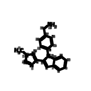 Cn1nnc(-c2cc3ccccc3n2-c2ccc(CN)cc2)n1